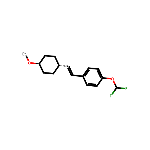 CCO[C@H]1CC[C@H](C=Cc2ccc(OC(F)F)cc2)CC1